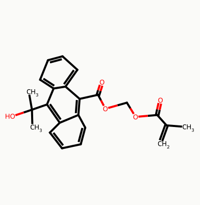 C=C(C)C(=O)OCOC(=O)c1c2ccccc2c(C(C)(C)O)c2ccccc12